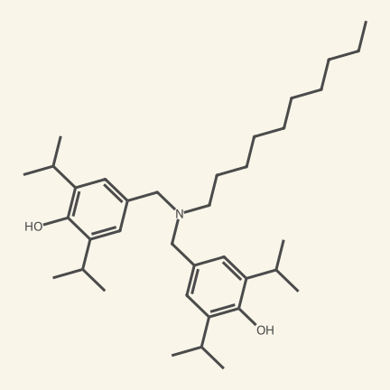 CCCCCCCCCCN(Cc1cc(C(C)C)c(O)c(C(C)C)c1)Cc1cc(C(C)C)c(O)c(C(C)C)c1